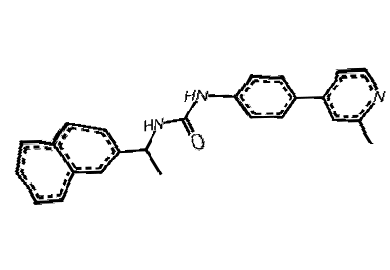 Cc1cc(-c2ccc(NC(=O)NC(C)c3ccc4ccccc4c3)cc2)ccn1